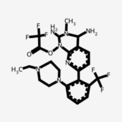 CCN1CCN(c2cccc(C(F)(F)F)c2-c2ccc3c(n2)N(OC(=O)C(F)(F)F)C(N)N(C)C3N)CC1